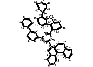 c1ccc(-c2cccc(-c3nc(-c4cc5ccccc5c5c4ccc4ccccc45)nc(-c4cccc5oc6c(-c7ccccc7)cccc6c45)n3)c2)cc1